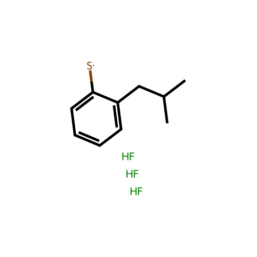 CC(C)Cc1ccccc1[S].F.F.F